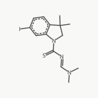 CN(C)C=NC(=S)N1CC(C)(C)c2ccc(I)cc21